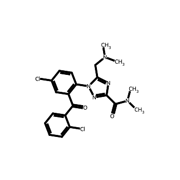 CN(C)Cc1nc(C(=O)N(C)C)nn1-c1ccc(Cl)cc1C(=O)c1ccccc1Cl